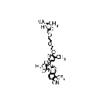 Cc1cc(N2C(=S)N(c3ccc(C#N)c(C(F)(F)F)c3F)C(=O)C2(C)C)cnc1OCCOCCOCC(=O)NC(C)C(C)(C)C